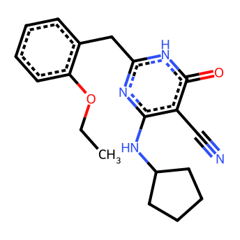 CCOc1ccccc1Cc1nc(NC2CCCC2)c(C#N)c(=O)[nH]1